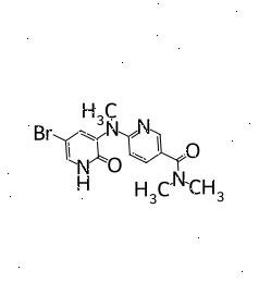 CN(C)C(=O)c1ccc(N(C)c2cc(Br)c[nH]c2=O)nc1